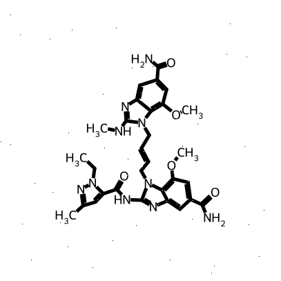 CCn1nc(C)cc1C(=O)Nc1nc2cc(C(N)=O)cc(OC)c2n1C/C=C/Cn1c(NC)nc2cc(C(N)=O)cc(OC)c21